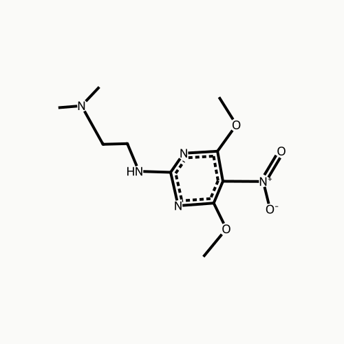 COc1nc(NCCN(C)C)nc(OC)c1[N+](=O)[O-]